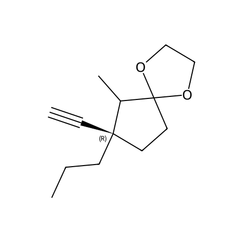 C#C[C@]1(CCC)CCC2(OCCO2)C1C